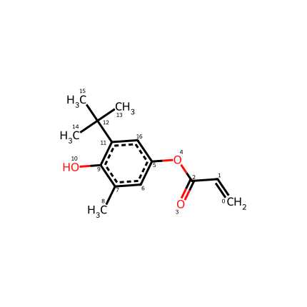 C=CC(=O)Oc1cc(C)c(O)c(C(C)(C)C)c1